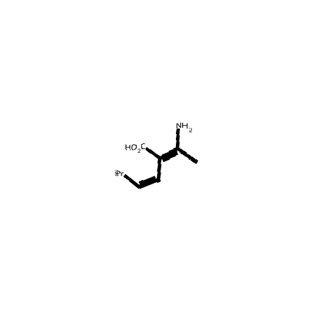 C/C(N)=C(\C=C/C(C)C)C(=O)O